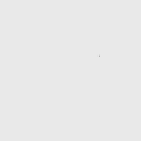 O=CC1C=CCC(c2cccnc2)C1